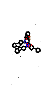 c1ccc(-c2ccc(N(c3ccc4c(c3)C3(c5ccccc5-c5ccc(N(c6ccccc6)c6ccccc6)cc53)c3ccccc3-4)c3ccc4c(c3)sc3ccccc34)cc2)cc1